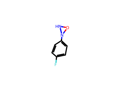 Fc1ccc(-n2[nH]o2)cc1